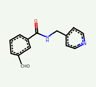 O=Cc1cccc(C(=O)NCc2ccncc2)c1